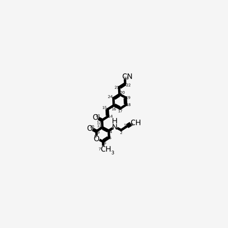 C#CCNc1cc(C)oc(=O)c1C(=O)C=Cc1cccc(C=CC#N)c1